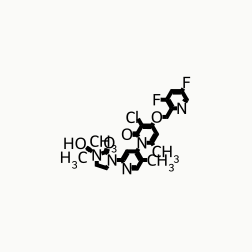 Cc1cnc(N2CCN(C(C)(C)O)C2=O)cc1-n1c(C)cc(OCc2ncc(F)cc2F)c(Cl)c1=O